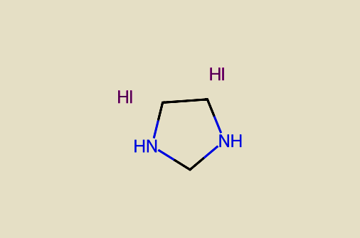 C1CNCN1.I.I